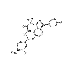 COc1ccc([C@@H](Oc2ccc3c(cnn3-c3ccc(F)cc3)c2)[C@H](C)NC(=O)C2(C)CC2)cc1F